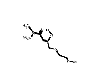 CCOCCOCC(CC(=O)N(C)C)OCC